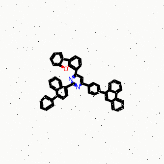 c1ccc(-c2ccc(-c3nc(-c4ccc(-c5cc6ccccc6c6ccccc56)cc4)cc(-c4cccc5c4oc4ccccc45)n3)c3ccccc23)cc1